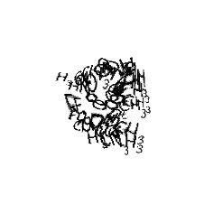 CCOc1cc(Oc2ccc(C(F)(F)F)cc2Cl)ccc1[N+](=O)[O-].CON(C)C(=O)Nc1ccc(Oc2ccc3c(c2)OC(C)(OC)CC3(C)C)cc1.C[S+](C)C.O=C(O)CNCP(=O)([O-])O